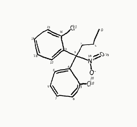 CCCC(c1ccccc1Cl)(c1ccccc1Cl)[N+](=O)[O-]